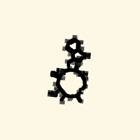 CC1CCCNC(=O)[C@H](Cc2c[nH]c3ccccc23)NC(=O)C[C@@H](O)[C@H](C)C1